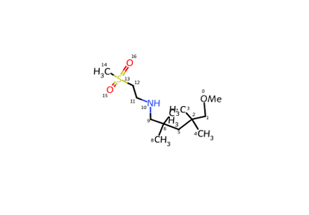 COCC(C)(C)CC(C)(C)CNCCS(C)(=O)=O